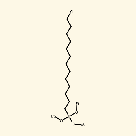 CCO[Si](CCCCCCCCCCCCCCl)(OCC)OCC